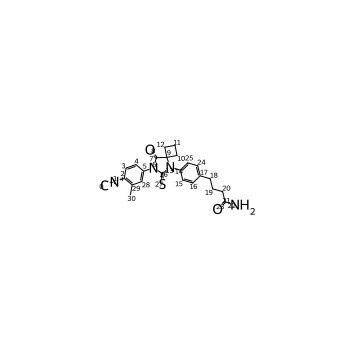 [C-]#[N+]c1ccc(N2C(=O)C3(CCC3)N(c3ccc(CCCC(N)=O)cc3)C2=S)cc1C